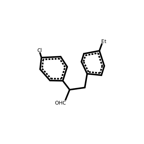 CCc1ccc(CC(C=O)c2ccc(Cl)cc2)cc1